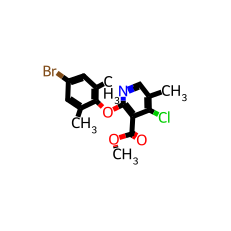 COC(=O)c1c(Oc2c(C)cc(Br)cc2C)ncc(C)c1Cl